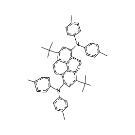 Cc1ccc(N(c2ccc(C)cc2)c2cc(C(C)(C)C)c3ccc4c(N(c5ccc(C)cc5)c5ccc(C)cc5)cc(C(C)(C)C)c5ccc2c3c45)cc1